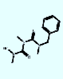 CN(O)C(=O)N(C)C(=O)N(C)Cc1ccccc1